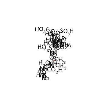 Cc1c(-c2ccc(N3CCc4cccc(C(=O)Nc5nc6ccccc6s5)c4C3)nc2C(=O)O)cnn1CC12CC3(C)CC(C)(C1)CC(OCCN(CCS(=O)(=O)O)C(=O)OCc1ccc(NC(=O)[C@H](C)NC(=O)[C@@H](NC(=O)CN4C(=O)[C@@H](NC(=O)CCC(=O)O)C[C@H]4COCCS(=O)(=O)O)C(C)C)cc1CC[C@@H]1O[C@H](C(=O)O)[C@@H](O)[C@H](O)[C@H]1O)(C3)C2